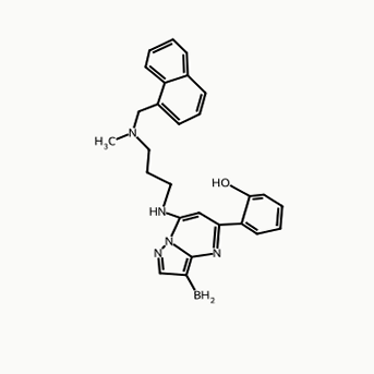 Bc1cnn2c(NCCCN(C)Cc3cccc4ccccc34)cc(-c3ccccc3O)nc12